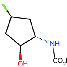 O=C(O)N[C@H]1C[C@H](F)C[C@@H]1O